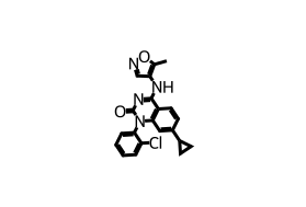 Cc1oncc1Nc1nc(=O)n(-c2ccccc2Cl)c2cc(C3CC3)ccc12